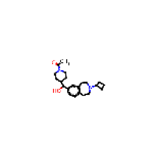 CC(=O)N1CCC(C(O)c2ccc3c(c2)CCN(C2CCC2)CC3)CC1